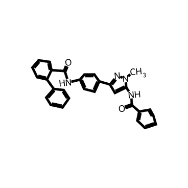 Cn1nc(-c2ccc(NC(=O)c3ccccc3-c3ccccc3)cc2)cc1NC(=O)c1ccccc1